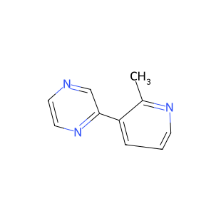 Cc1ncccc1-c1cnccn1